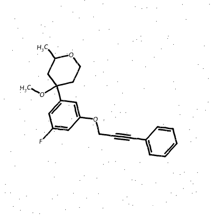 COC1(c2cc(F)cc(OCC#Cc3ccccc3)c2)CCOC(C)C1